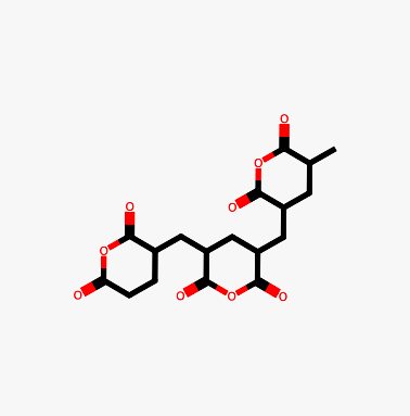 CC1CC(CC2CC(CC3CCC(=O)OC3=O)C(=O)OC2=O)C(=O)OC1=O